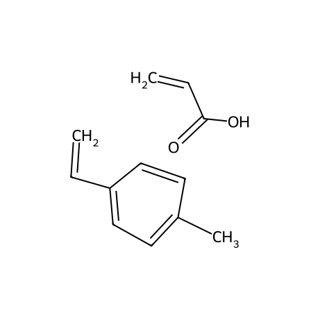 C=CC(=O)O.C=Cc1ccc(C)cc1